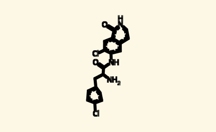 NC(Cc1ccc(Cl)cc1)C(=O)Nc1cc2cc[nH]c(=O)c2cc1Cl